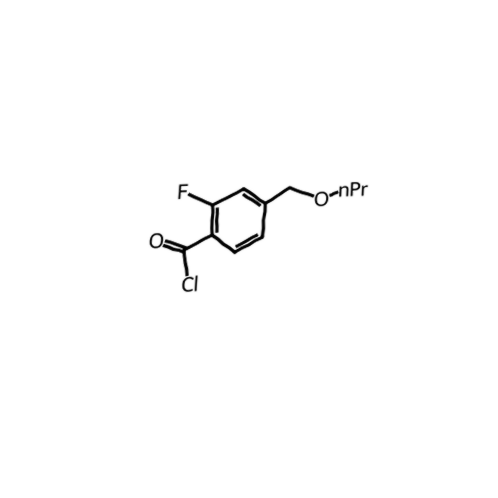 CCCOCc1ccc(C(=O)Cl)c(F)c1